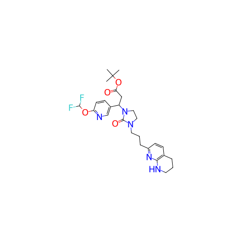 CC(C)(C)OC(=O)CC(c1ccc(OC(F)F)nc1)N1CCN(CCCc2ccc3c(n2)NCCC3)C1=O